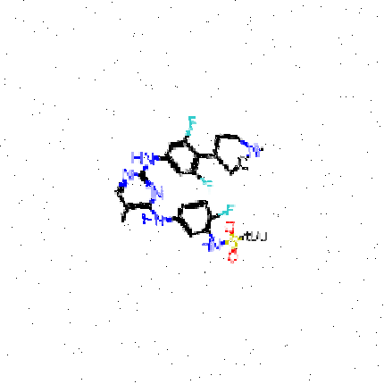 Cc1cnc(Nc2cc(F)c(C3CCN(C)CC3)c(F)c2)nc1Nc1ccc(F)c(NS(=O)(=O)C(C)(C)C)c1